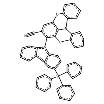 N#Cc1cc2c3c(c1-n1c4ccccc4c4cc([Si](c5ccccc5)(c5ccccc5)c5ccccc5)ccc41)Oc1ccccc1B3c1ccccc1O2